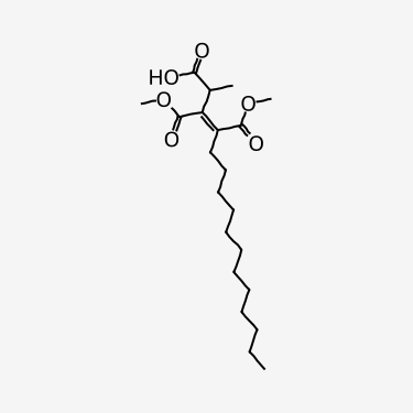 CCCCCCCCCCCCC(C(=O)OC)=C(C(=O)OC)C(C)C(=O)O